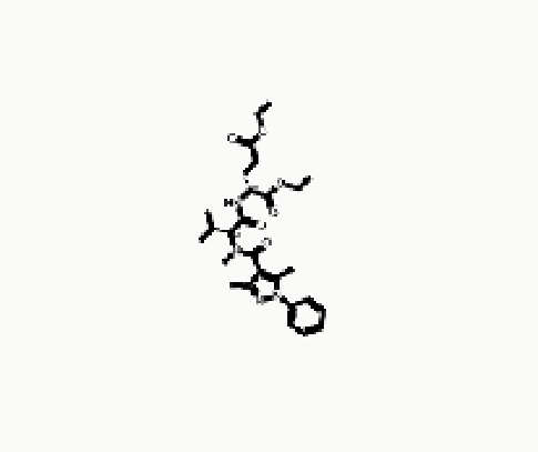 CCOC(=O)CC[C@@H](NC(=O)[C@H](C(C)C)N(C)C(=O)c1c(C)nn(-c2ccccc2)c1C)C(=O)OCC